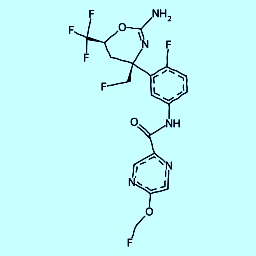 NC1=N[C@](CF)(c2cc(NC(=O)c3cnc(OCF)cn3)ccc2F)C[C@@H](C(F)(F)F)O1